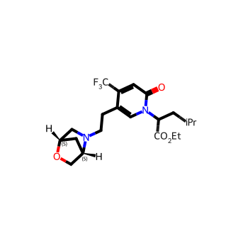 CCOC(=O)C(CC(C)C)n1cc(CCN2C[C@@H]3C[C@H]2CO3)c(C(F)(F)F)cc1=O